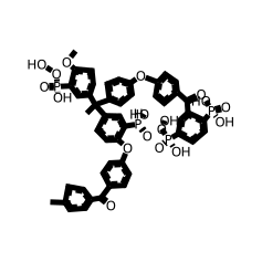 COc1ccc(C(C)(c2ccc(Oc3ccc(C(=O)c4cc(P(=O)(O)OO)ccc4P(=O)(O)O)cc3)cc2)c2ccc(Oc3ccc(C(=O)c4ccc(C)cc4)cc3)c([PH](=O)O)c2)cc1P(=O)(O)OO